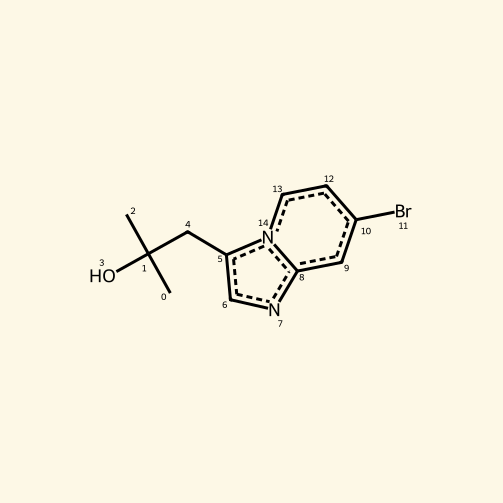 CC(C)(O)Cc1cnc2cc(Br)ccn12